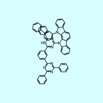 c1ccc(-c2cccc(-n3c4ccccc4c4ccc5c6ccccc6n(C6=NC(c7ccccc7)NC(c7cccc(-c8nc(-c9ccccc9)nc(-c9ccccc9)n8)c7)=N6)c5c43)c2)cc1